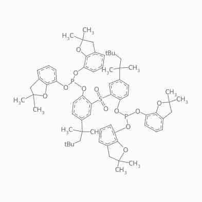 CC(C)(C)CC(C)(C)c1ccc(OP(Oc2cccc3c2OC(C)(C)C3)Oc2cccc3c2OC(C)(C)C3)c(S(=O)(=O)c2cc(C(C)(C)CC(C)(C)C)ccc2OP(Oc2cccc3c2OC(C)(C)C3)Oc2cccc3c2OC(C)(C)C3)c1